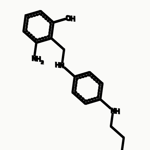 Nc1cccc(O)c1CNc1ccc(NCCO)cc1